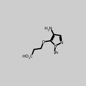 CC(C)n1ncc(N)c1OCCC(=O)O